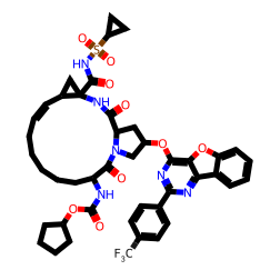 O=C(NC1CCCCCC=CC2CC2(C(=O)NS(=O)(=O)C2CC2)NC(=O)C2CC(Oc3nc(-c4ccc(C(F)(F)F)cc4)nc4c3oc3ccccc34)CN2C1=O)OC1CCCC1